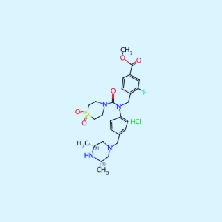 COC(=O)c1ccc(CN(C(=O)N2CCS(=O)(=O)CC2)c2ccc(CN3C[C@@H](C)N[C@@H](C)C3)cc2)c(F)c1.Cl